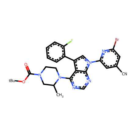 CC1CN(C(=O)OC(C)(C)C)CCN1c1ncnc2c1c(-c1ccccc1F)cn2-c1cc(C#N)cc(Br)n1